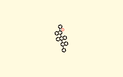 c1ccc(-c2ccc(-c3c4ccccc4c(-c4cc5oc6ccccc6c5c5ccccc45)c4ccccc34)c3ccccc23)cc1